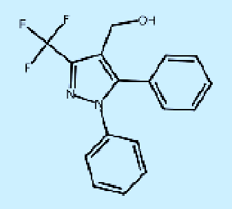 OCc1c(C(F)(F)F)nn(-c2ccccc2)c1-c1ccccc1